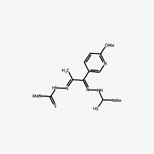 CNC(=S)N/N=C(C)/C(=N/NC(S)NC)c1ccc(OC)nc1